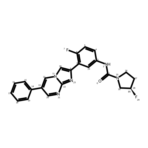 O=C(Nc1ccc(F)c(-c2cn3cc(-c4ccccc4)cnc3n2)c1)N1CC[C@@H](F)C1